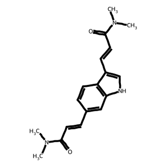 CN(C)C(=O)/C=C/c1ccc2c(/C=C/C(=O)N(C)C)c[nH]c2c1